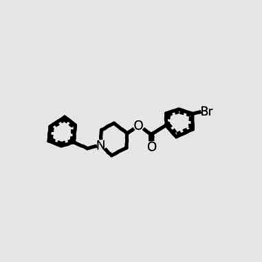 O=C(OC1CCN(Cc2ccccc2)CC1)c1ccc(Br)cc1